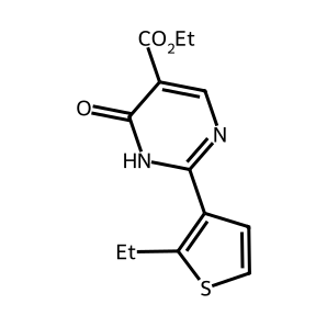 CCOC(=O)c1cnc(-c2ccsc2CC)[nH]c1=O